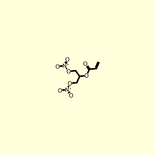 C=CC(=O)OC(CO[N+](=O)[O-])CO[N+](=O)[O-]